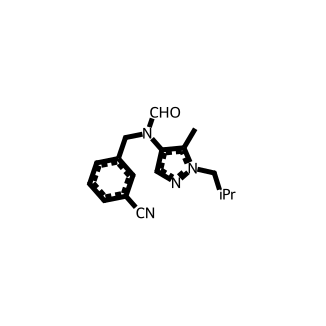 Cc1c(N(C=O)Cc2cccc(C#N)c2)cnn1CC(C)C